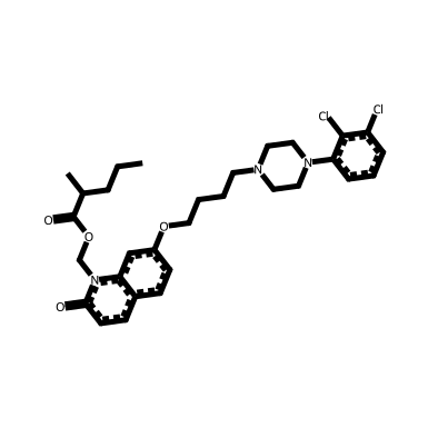 CCCC(C)C(=O)OCn1c(=O)ccc2ccc(OCCCCN3CCN(c4cccc(Cl)c4Cl)CC3)cc21